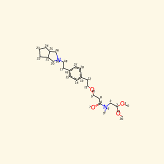 COC(CN(C)C(=O)CCOCCc1ccc(CCN2CC3CCCC3C2)cc1)OC